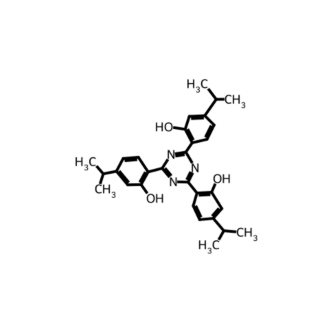 CC(C)c1ccc(-c2nc(-c3ccc(C(C)C)cc3O)nc(-c3ccc(C(C)C)cc3O)n2)c(O)c1